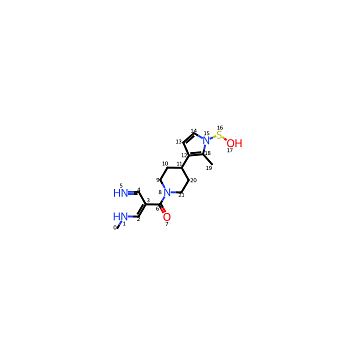 CN/C=C(\C=N)C(=O)N1CCC(c2ccn(SO)c2C)CC1